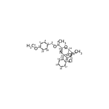 COc1ccc(COC(C)C2=NC3(c4ccccc4Cl)CC[C@@H](C)C(O2)C3=O)cc1